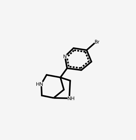 Brc1ccc(C23CNCC(C2)NC3)nc1